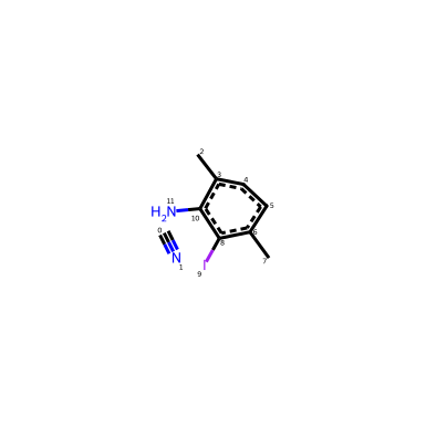 C#N.Cc1ccc(C)c(I)c1N